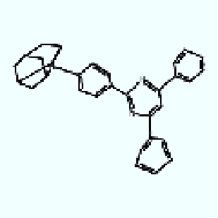 c1ccc(-c2cc(-c3ccccc3)nc(-c3ccc(N4C5CC6CC(C5)CC4C6)cc3)n2)cc1